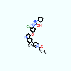 C=CC(=O)N1CCC(c2cc3c(Oc4ccc(NC(O)NC5CCCCC5)c(Cl)c4)ccnc3cc2OC)CC1